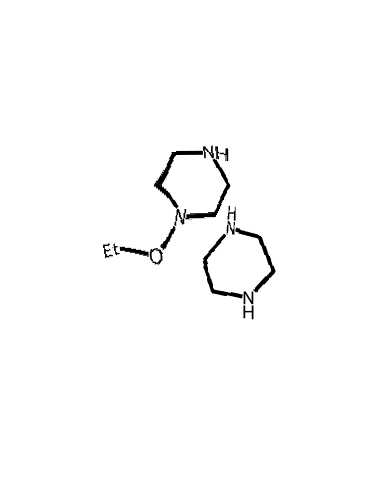 C1CNCCN1.CCON1CCNCC1